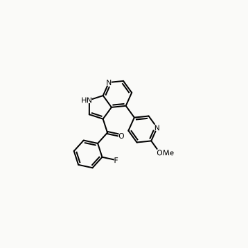 COc1ccc(-c2ccnc3[nH]cc(C(=O)c4ccccc4F)c23)cn1